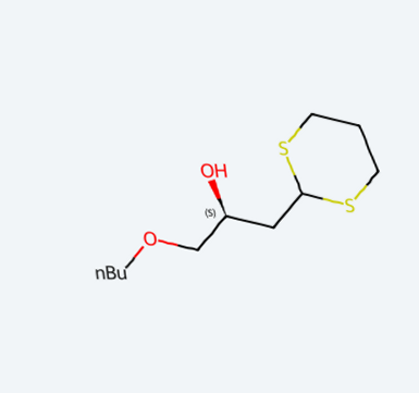 CCCCOC[C@@H](O)CC1SCCCS1